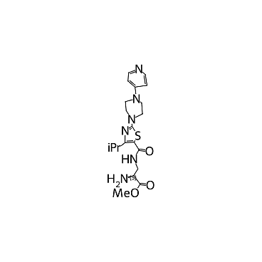 COC(=O)[C@@H](N)CNC(=O)c1sc(N2CCN(c3ccncc3)CC2)nc1C(C)C